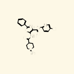 CC(C)N1CCC(C(=O)Nc2sc(-c3ccccc3)nc2C(=O)Nc2ccc(Cl)cn2)CC1